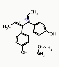 C/C=C(/C(=C/C)c1ccc(O)cc1)c1ccc(O)cc1.[SiH3]O[SiH3]